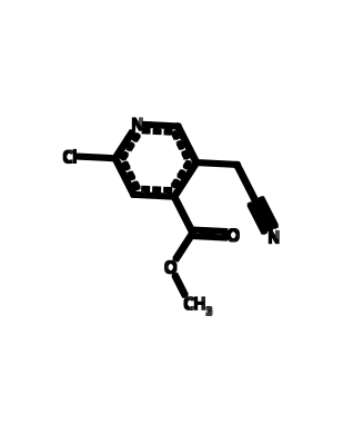 COC(=O)c1cc(Cl)ncc1CC#N